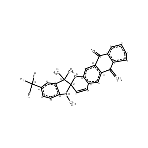 C=C1c2ccccc2C(=O)c2cc3c(cc21)C=CC1(O3)N(C)c2ccc(C(F)(F)F)cc2C1(C)C